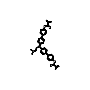 C=C(C)C(=O)Oc1ccc(-c2ccc(N(CCN(C)C)c3ccc(-c4ccc(OC(=O)C(=C)C)cc4)cc3)cc2)cc1